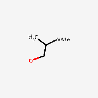 CNC(C)C[O]